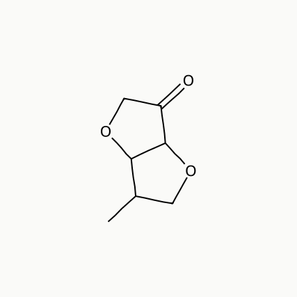 CC1COC2C(=O)COC12